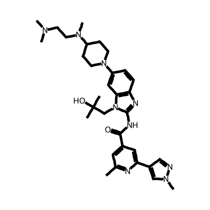 Cc1cc(C(=O)Nc2nc3ccc(N4CCC(N(C)CCN(C)C)CC4)cc3n2CC(C)(C)O)cc(-c2cnn(C)c2)n1